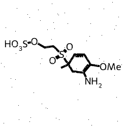 COC1=C(N)CC(C)(S(=O)(=O)CCOS(=O)(=O)O)C=C1